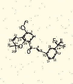 COc1ccc(C(=O)C=Cc2cccc(C(F)(F)F)c2)c2c1C=CC(C)(C)O2